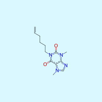 C=CCCCCn1c(=O)c2c(ncn2C)n(C)c1=O